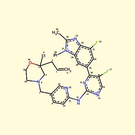 C=CCC1(CC)CN(Cc2ccc(Nc3ncc(F)c(-c4cc(F)c5nc(C)n(C(C)C)c5c4)n3)nc2)CCO1